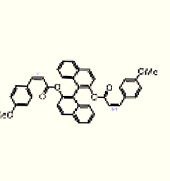 COc1ccc(/C=C\C(=O)Oc2ccc3ccccc3c2-c2c(OC(=O)/C=C\c3ccc(OC)cc3)ccc3ccccc23)cc1